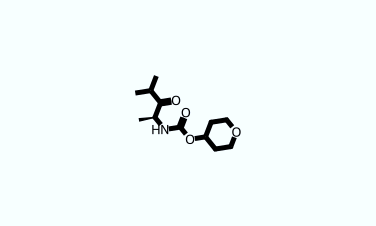 CC(C)C(=O)[C@H](C)NC(=O)OC1CCOCC1